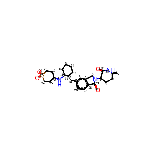 C=C1CCC(N2Cc3cc(C[C@H]4CCCC[C@@H]4NC4CCS(=O)(=O)CC4)ccc3C2=O)C(=O)N1